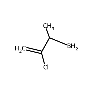 BC(C)C(=C)Cl